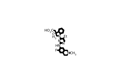 CCc1cnc(Nc2cc3c(cc2F)CCN(C)C3)nc1N1C[C@@](C)(CC(=O)O)c2ccccc21